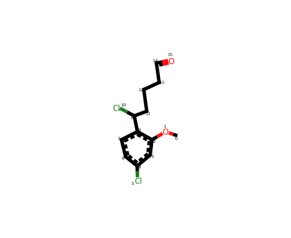 COc1cc(Cl)ccc1C(Cl)CCCC=O